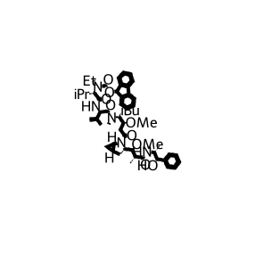 C=C(C)[C@H](NC(=O)[C@H](C(C)C)N(CC)C(=O)OC1c2ccccc2-c2ccccc21)C(=O)N(C)[C@@H]([C@@H](C)CC)[C@@H](CC(=O)N1[C@H]2C[C@H]2C[C@H]1[C@H](OC)[C@@H](C)C(=O)N[C@H](C)[C@@H](O)c1ccccc1)OC